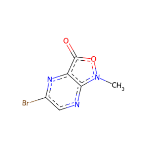 Cn1oc(=O)c2nc(Br)cnc21